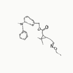 CCON=CC1C(C(=O)OCc2cccc(N(C)c3ccccc3)c2)C1(C)C